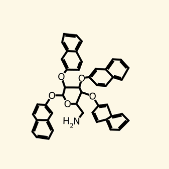 NCC1OC(Oc2ccc3ccccc3c2)C(Oc2ccc3ccccc3c2)C(Oc2ccc3ccccc3c2)C1Oc1ccc2ccccc2c1